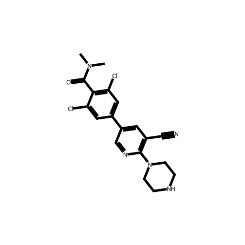 CN(C)C(=O)c1c(Cl)cc(-c2cnc(N3CCNCC3)c(C#N)c2)cc1Cl